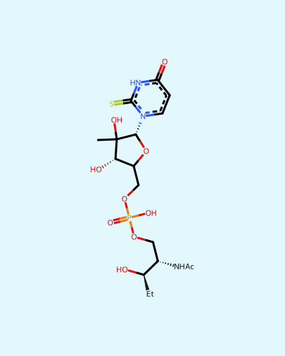 CC[C@@H](O)[C@H](COP(=O)(O)OCC1O[C@@H](n2ccc(=O)[nH]c2=S)C(C)(O)[C@H]1O)NC(C)=O